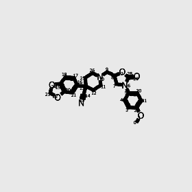 COc1ccc(N2CC(CN3CCC(C#N)(c4ccc5c(c4)OCO5)CC3)OC2=O)cc1